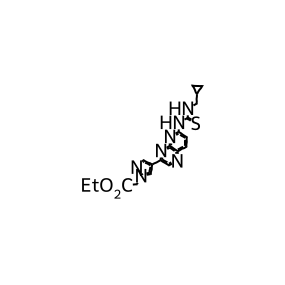 CCOC(=O)Cn1cc(-c2cnc3ccc(NC(=S)NCC4CC4)nc3n2)cn1